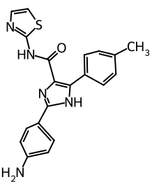 Cc1ccc(-c2[nH]c(-c3ccc(N)cc3)nc2C(=O)Nc2nccs2)cc1